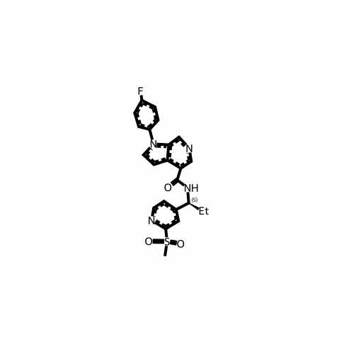 CC[C@H](NC(=O)c1cncc2c1ccn2-c1ccc(F)cc1)c1ccnc(S(C)(=O)=O)c1